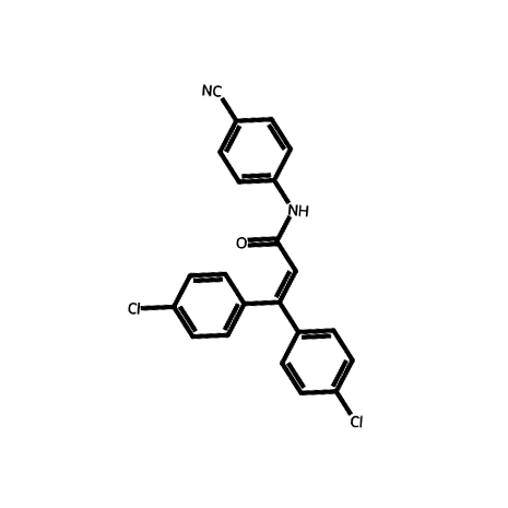 N#Cc1ccc(NC(=O)C=C(c2ccc(Cl)cc2)c2ccc(Cl)cc2)cc1